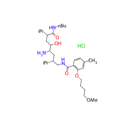 CCCCNC(=O)C(CC(O)C(N)CC(CNC(=O)c1ccc(C)cc1OCCCCOC)C(C)C)C(C)C.Cl